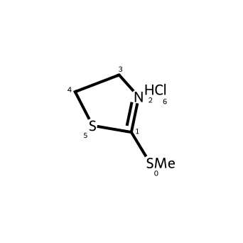 CSC1=NCCS1.Cl